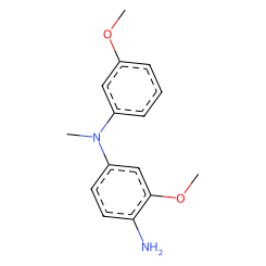 COc1cccc(N(C)c2ccc(N)c(OC)c2)c1